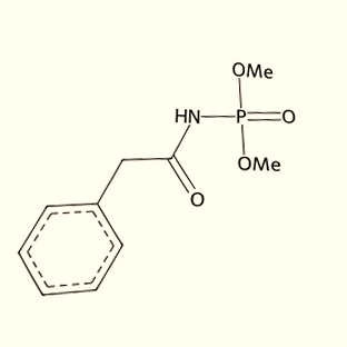 COP(=O)(NC(=O)Cc1ccccc1)OC